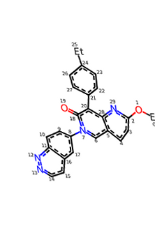 CCOc1ccc2cn(-c3ccc4nnccc4c3)c(=O)c(-c3ccc(CC)cc3)c2n1